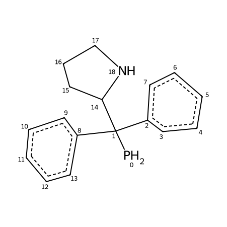 PC(c1ccccc1)(c1ccccc1)C1CCCN1